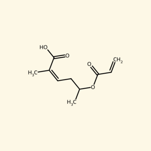 C=CC(=O)OC(C)CC=C(C)C(=O)O